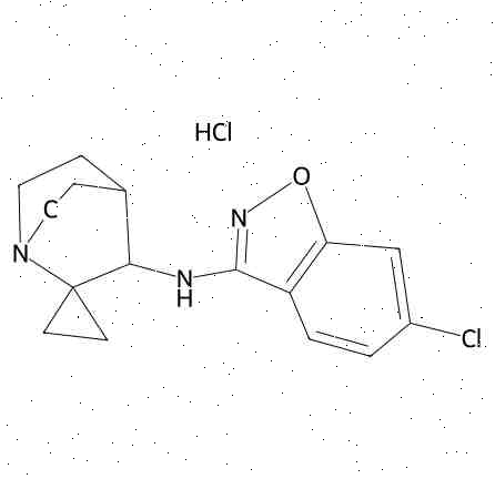 Cl.Clc1ccc2c(NC3C4CCN(CC4)C34CC4)noc2c1